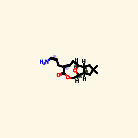 CC1(C)C[C@@H]2[C@H](C1)[C@H]1COC(=O)/C(C/C=C\N)=C/C[C@@H]2O1